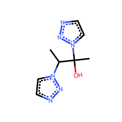 CC(n1ccnn1)C(C)(O)n1ccnn1